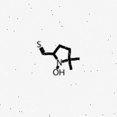 CC1(C)CCC(C=S)N1O